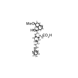 COc1ccc2nccc([C@H](O)CC[C@@H]3CCN(CCCSc4ncccn4)C[C@H]3CCC(=O)O)c2c1